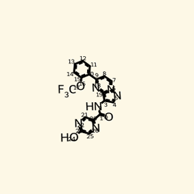 O=C(Nc1cnn2ccc(-c3ccccc3OC(F)(F)F)nc12)c1cnc(O)cn1